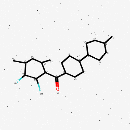 CC1CCC(C2CCC(C(=O)C3C(C)CC(C)C(F)C3F)CC2)CC1